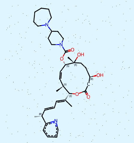 CC(=CC=C[C@@H](C)c1ccccn1)[C@H]1OC(=O)C[C@H](O)CC[C@@](C)(O)[C@@H](OC(=O)N2CCC(N3CCCCCC3)CC2)C=C[C@@H]1C